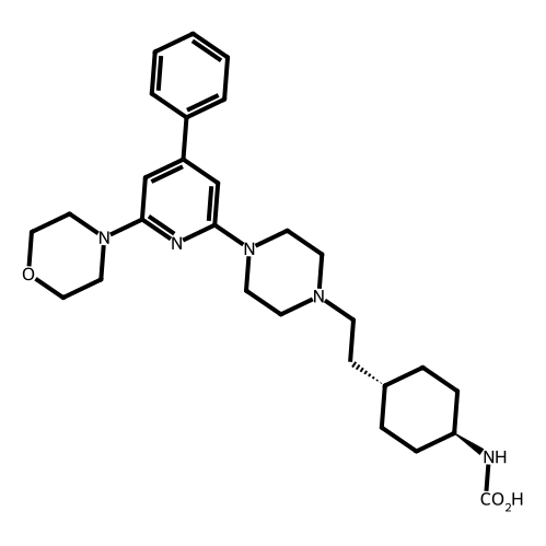 O=C(O)N[C@H]1CC[C@H](CCN2CCN(c3cc(-c4ccccc4)cc(N4CCOCC4)n3)CC2)CC1